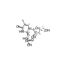 Cc1cn(C2O[C@H](CO)C[C@H]2O)c(=O)[nH]c1=O.O=[PH](O)O